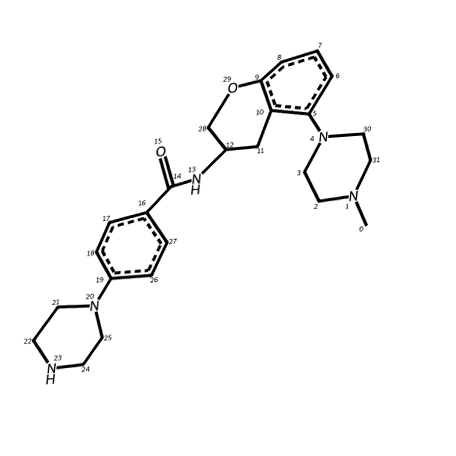 CN1CCN(c2cccc3c2CC(NC(=O)c2ccc(N4CCNCC4)cc2)CO3)CC1